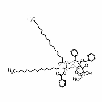 CCCCCCCCCCCCCCCC(=O)N[C@@H](CO[C@H]1O[C@H](CO)[C@H](O)[C@H](OC(=O)c2ccccc2)[C@H]1OC(=O)c1ccccc1)[C@@H](CCCCCCCCCCCCCCC)OC(=O)c1ccccc1